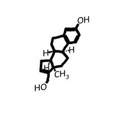 C[C@]12CC[C@@H]3c4ccc(O)cc4CC[C@H]3[C@@H]1CC=C2CO